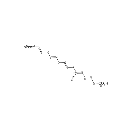 CCCCCC=CCC=CCC=CCC(F)=CCCCC(=O)O